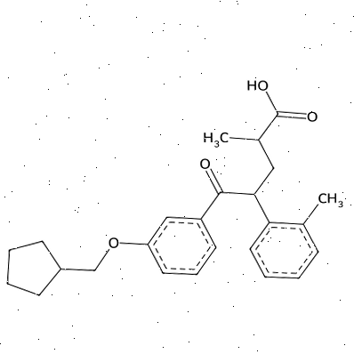 Cc1ccccc1C(CC(C)C(=O)O)C(=O)c1cccc(OCC2CCCC2)c1